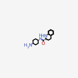 N[C@H]1CC[C@H](NC(=O)[C@H]2CCc3ccccc3N2)CC1